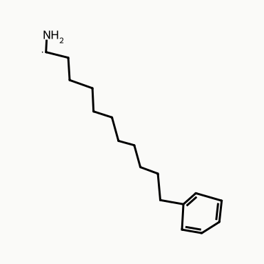 N[CH]CCCCCCCCCCc1ccccc1